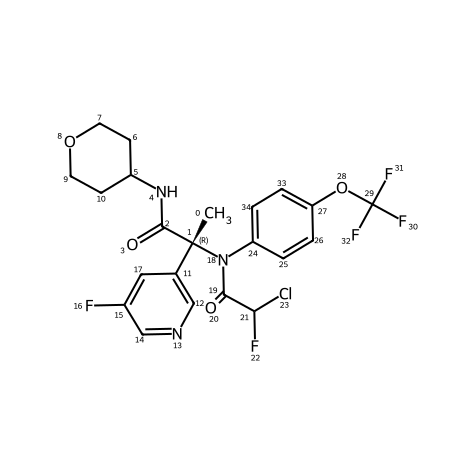 C[C@](C(=O)NC1CCOCC1)(c1cncc(F)c1)N(C(=O)C(F)Cl)c1ccc(OC(F)(F)F)cc1